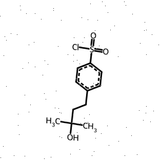 CC(C)(O)CCc1ccc(S(=O)(=O)Cl)cc1